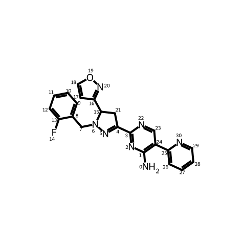 Nc1nc(C2=NN(Cc3ccccc3F)C(c3ccon3)C2)ncc1-c1ccccn1